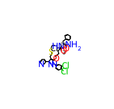 CSCCc1c(-c2cccnc2)nn(-c2ccc(Cl)c(Cl)c2)c1OCCCC(=O)N[C@@H](Cc1ccccc1)C(N)=O